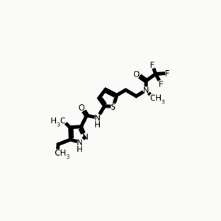 CCc1[nH]nc(C(=O)Nc2ccc(CCN(C)C(=O)C(F)(F)F)s2)c1C